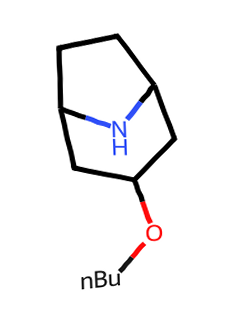 CCCCOC1CC2CCC(C1)N2